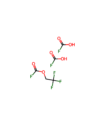 O=C(F)OCC(F)(F)F.O=C(O)F.O=C(O)F